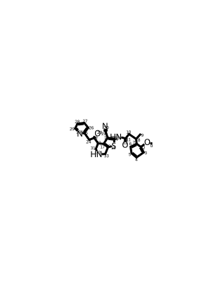 COc1ccccc1C(C)CC(=O)Nc1sc2c(c1C#N)C(C(=O)Cc1ccccn1)CNC2